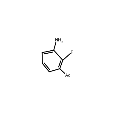 CC(=O)c1cccc(N)c1F